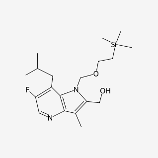 Cc1c(CO)n(COCC[Si](C)(C)C)c2c(CC(C)C)c(F)cnc12